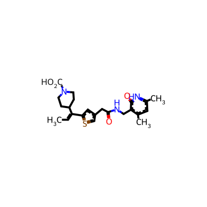 C/C=C(/c1cc(CC(=O)NCc2c(C)cc(C)[nH]c2=O)cs1)C1CCN(C(=O)O)CC1